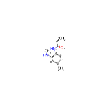 C=CC(=O)Nc1ccc(C)cc1NC